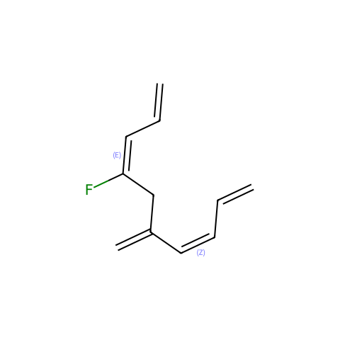 C=C/C=C\C(=C)C/C(F)=C\C=C